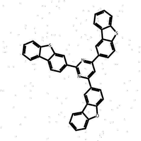 c1ccc2c(c1)oc1ccc(-c3cc(-c4ccc5sc6ccccc6c5c4)nc(-c4ccc5c(c4)sc4ccccc45)n3)cc12